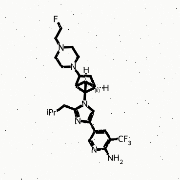 CC(C)Cc1nc(-c2cnc(N)c(C(F)(F)F)c2)cn1C12C3C(N4CCN(CCF)CC4)C[C@@H]1[C@H]32